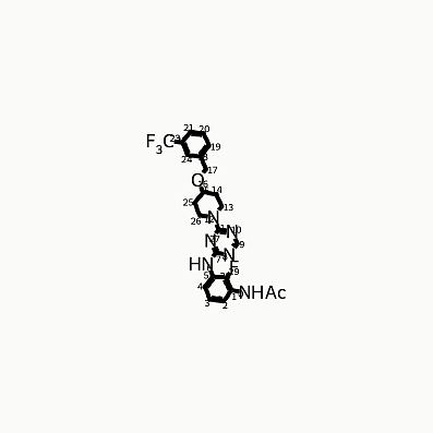 CC(=O)Nc1cccc(Nc2ncnc(N3CCC(OCc4cccc(C(F)(F)F)c4)CC3)n2)c1F